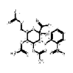 CC(=O)OC[C@H]1O[C@](S)(C(C)=O)[C@H](Oc2ccccc2[N+](=O)[O-])[C@@H](OC(C)=O)[C@H]1OC(C)=O